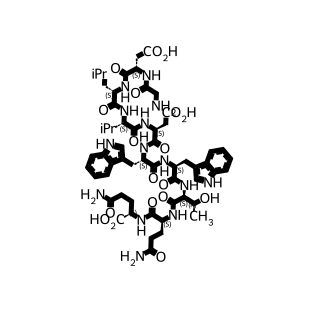 CC(C)C[C@H](NC(=O)[C@H](CC(=O)O)NC(=O)CN)C(=O)N[C@H](C(=O)N[C@@H](CC(=O)O)C(=O)N[C@@H](Cc1c[nH]c2ccccc12)C(=O)N[C@@H](Cc1c[nH]c2ccccc12)C(=O)N[C@H](C(=O)N[C@@H](CCC(N)=O)C(=O)N[C@@H](CCC(N)=O)C(=O)O)[C@@H](C)O)C(C)C